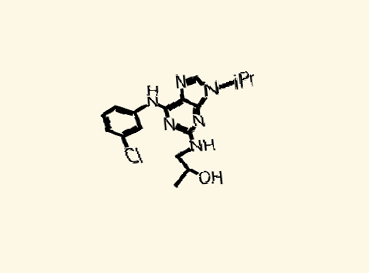 CC(O)CNc1nc(Nc2cccc(Cl)c2)c2ncn(C(C)C)c2n1